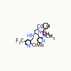 COc1ncc(C(F)(F)F)cc1CNC1CC(C(=O)O)N(C(=O)C2CCCCC2)C1c1cccnc1N(C)C